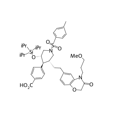 COCCCN1C(=O)COc2ccc(CC[C@H]3CN(S(=O)(=O)c4ccc(C)cc4)C[C@@H](O[Si](C(C)C)(C(C)C)C(C)C)[C@@H]3c3ccc(C(=O)O)cc3)cc21